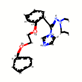 CCN(C)N=C(c1ccccc1OCCOc1ccccc1)n1ccnc1